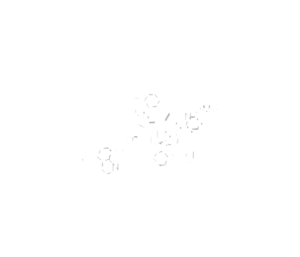 C#CC(C)Oc1cc(N2C(=O)C3=C(CCCC3)C2=O)c(F)cc1Cl.COc1nc(C)nc(N(C)C(=O)NS(=O)(=O)c2ccccc2C(=O)O)n1.O=C(O)COc1ccc(Cl)c2cccnc12